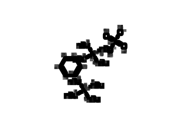 CCCC[N+](CCCC)(CCCC)CCCC.CCCC[N+](CCCC)(CCCC)CCCC.O=S(=O)([O-])[O-].c1ccccc1